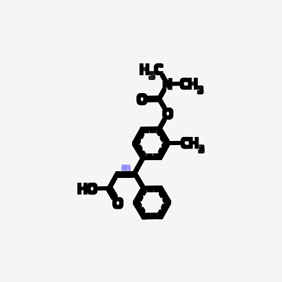 Cc1cc(/C(=C/C(=O)O)c2ccccc2)ccc1OC(=O)N(C)C